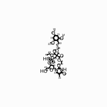 CCOC(=O)C(COCSCc1c(OC)cc(OC)cc1OC)(COP(=O)(O)O[C@@H]1C[C@H](n2cc(C)c(=O)[nH]c2=O)OC1CO)C(=O)OCC